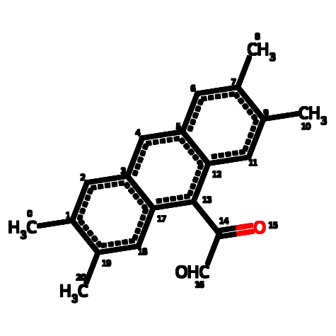 Cc1cc2cc3cc(C)c(C)cc3c(C(=O)C=O)c2cc1C